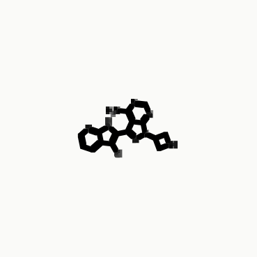 Nc1ncnc2c1c(-c1[nH]c3ncccc3c1Cl)nn2C1CNC1